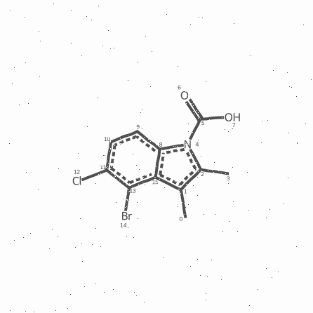 Cc1c(C)n(C(=O)O)c2ccc(Cl)c(Br)c12